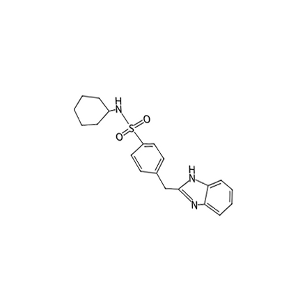 O=S(=O)(NC1CCCCC1)c1ccc(Cc2nc3ccccc3[nH]2)cc1